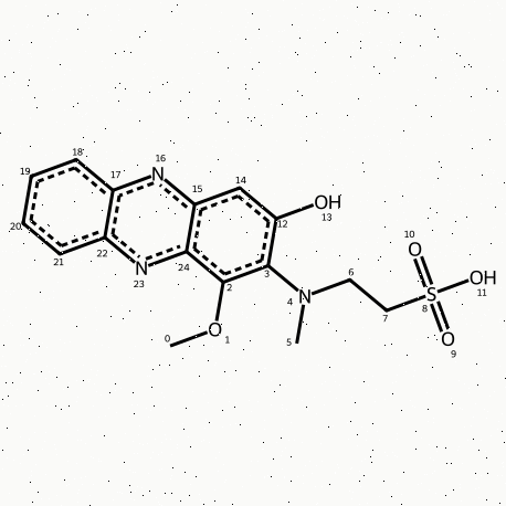 COc1c(N(C)CCS(=O)(=O)O)c(O)cc2nc3ccccc3nc12